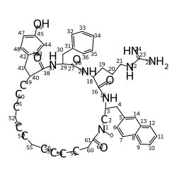 CN1CC(Cc2ccc3ccccc3c2)NC(=O)C(CCCNC(=N)N)NC(=O)C(Cc2ccccc2)NC(=O)C(Cc2ccc(O)cc2)CCCCCCCCCCCCC1=O